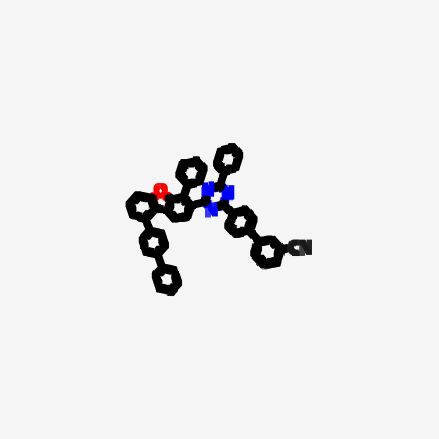 N#Cc1cccc(-c2ccc(-c3nc(-c4ccccc4)nc(-c4ccc5c(oc6cccc(-c7ccc(-c8ccccc8)cc7)c65)c4-c4ccccc4)n3)cc2)c1